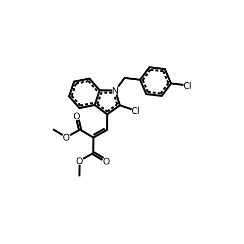 COC(=O)C(=Cc1c(Cl)n(Cc2ccc(Cl)cc2)c2ccccc12)C(=O)OC